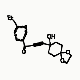 CCc1ccc(C(=O)C#CC2(O)CCC3(CC2)OCCO3)cc1